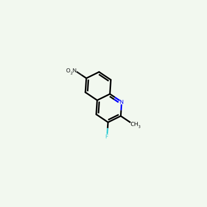 Cc1nc2ccc([N+](=O)[O-])cc2cc1F